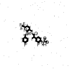 CC(C(=O)NCc1ccc(C(F)(F)F)nc1OCc1ccc(F)cc1)c1ccc(N(C)[SH](=O)=O)c(F)c1